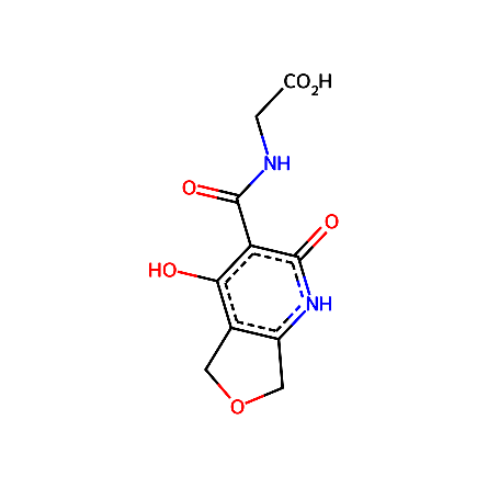 O=C(O)CNC(=O)c1c(O)c2c([nH]c1=O)COC2